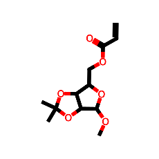 C=CC(=O)OCC1OC(OC)C2OC(C)(C)OC12